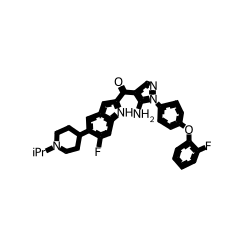 CC(C)N1CCC(c2cc3cc(C(=O)c4cnn(-c5ccc(Oc6ccccc6F)cc5)c4N)[nH]c3cc2F)CC1